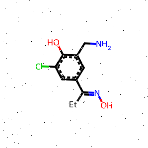 CCC(=NO)c1cc(Cl)c(O)c(CN)c1